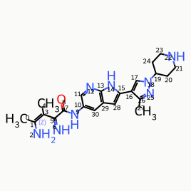 C/C(N)=C(\C)C(=N)C(=O)Nc1cnc2[nH]c(-c3cn(C4CCNCC4)nc3C)cc2c1